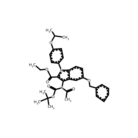 CCOC(=O)c1c(N(C(C)=O)C(=O)OC(C)(C)C)c2cc(OCc3ccccc3)ccc2n1-c1ccc(OC(C)C)cc1